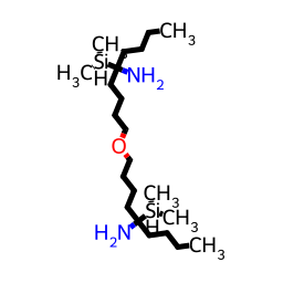 CCCCC(N)(CCCCOCCCCC(N)(CCCC)[SiH](C)C)[SiH](C)C